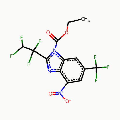 CCOC(=O)n1c(C(F)(F)C(F)F)nc2c([N+](=O)[O-])cc(C(F)(F)F)cc21